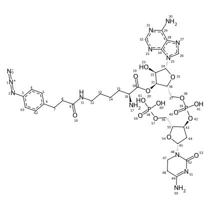 [N-]=[N+]=Nc1ccc(CCC(=O)NCCCC[C@H](N)C(=O)O[C@H]2[C@@H](O)[C@H](n3cnc4c(N)ncnc43)O[C@@H]2COP(=O)(O)O[C@H]2C[C@H](N3CCC(N)=NC3=O)O[C@@H]2COP(=O)(O)O)cc1